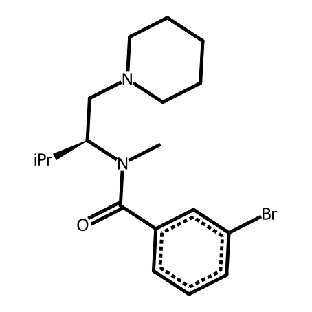 CC(C)[C@@H](CN1CCCCC1)N(C)C(=O)c1cccc(Br)c1